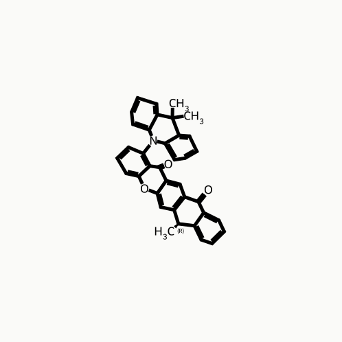 C[C@@H]1c2ccccc2C(=O)c2cc3c(=O)c4c(N5c6ccccc6C(C)(C)c6ccccc65)cccc4oc3cc21